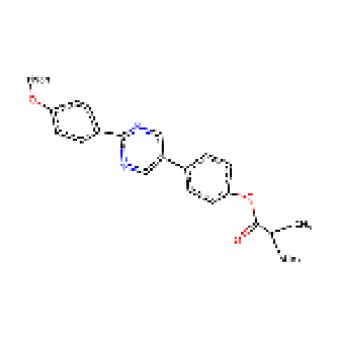 CCCCCCCCCOc1ccc(-c2ncc(-c3ccc(OC(=O)C(C)CCCCCC)cc3)cn2)cc1